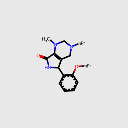 CCCOc1ccccc1C1NC(=O)C2=C1CN(CCC)CN2C